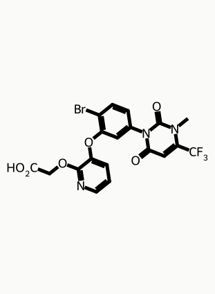 Cn1c(C(F)(F)F)cc(=O)n(-c2ccc(Br)c(Oc3cccnc3OCC(=O)O)c2)c1=O